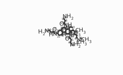 CCN(C)CCC[C@@H](C)[C@H]1CC[C@H]2C3[C@H](NC(=O)CCN)CC4C[C@H](NC(=O)CCN)CC[C@]4(C)[C@H]3C[C@H](NC(=O)CCN)C12C